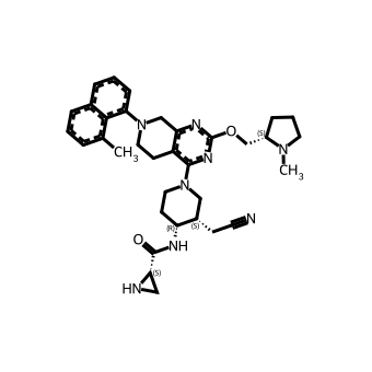 Cc1cccc2cccc(N3CCc4c(nc(OC[C@@H]5CCCN5C)nc4N4CC[C@@H](NC(=O)[C@@H]5CN5)[C@@H](CC#N)C4)C3)c12